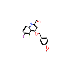 COc1ccc(COc2cc(C=O)nc3ccc(I)c(F)c23)cc1